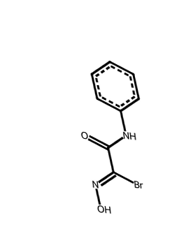 O=C(Nc1ccccc1)/C(Br)=N/O